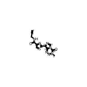 C#CCNC(=O)c1csc(-c2ncn3c(=O)n(C)nnc23)n1